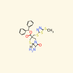 CSc1nnc(SCC2(C(=O)OC(c3ccccc3)c3ccccc3)CS[C@@H]3C(N)C(=O)N3C2)s1